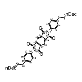 CCCCCCCCCCCCc1ccc(-n2c(=O)c3cc4c(=O)n(-c5ccc(CCCCCCCCCCCC)cc5)c(=O)c4cc3c2=O)cc1